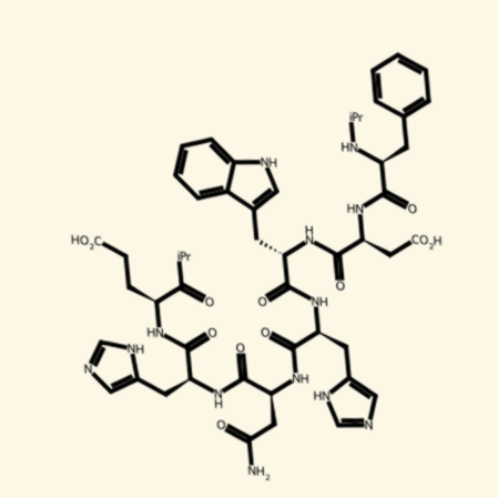 CC(C)N[C@@H](Cc1ccccc1)C(=O)N[C@@H](CC(=O)O)C(=O)N[C@@H](Cc1c[nH]c2ccccc12)C(=O)N[C@@H](Cc1cnc[nH]1)C(=O)N[C@@H](CC(N)=O)C(=O)N[C@@H](Cc1cnc[nH]1)C(=O)N[C@@H](CCC(=O)O)C(=O)C(C)C